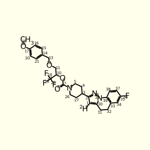 [2H]c1c(C2CCN(C(=O)OC(COCc3ccc(OC)cc3)C(F)(F)F)CC2)nn2c1CCc1cc(F)ccc1-2